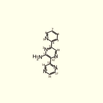 Nc1nc(-c2ccccn2)cnc1-c1cnccn1